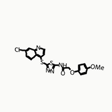 COc1ccc(OCC(=O)Nc2nnc(Sc3ccnc4cc(Cl)ccc34)s2)cc1